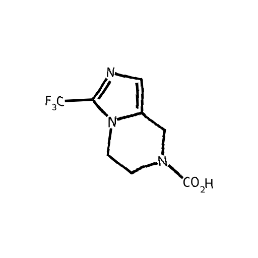 O=C(O)N1CCn2c(cnc2C(F)(F)F)C1